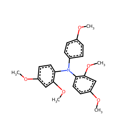 COc1ccc(N(c2ccc(OC)cc2OC)c2ccc(OC)cc2OC)cc1